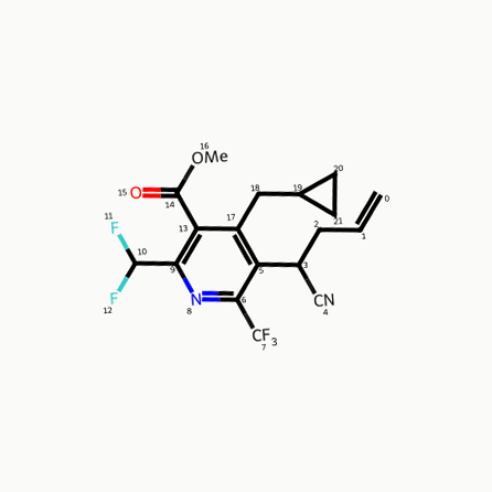 C=CCC(C#N)c1c(C(F)(F)F)nc(C(F)F)c(C(=O)OC)c1CC1CC1